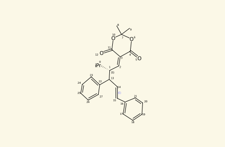 CC(C)[C@H](C=C1C(=O)OC(C)(C)OC1=O)C(/C=C/c1ccccc1)c1ccccc1